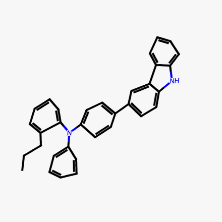 CCCc1ccccc1N(c1ccccc1)c1ccc(-c2ccc3[nH]c4ccccc4c3c2)cc1